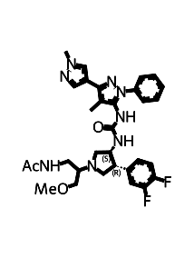 COCC(CNC(C)=O)N1C[C@@H](NC(=O)Nc2c(C)c(-c3cnn(C)c3)nn2-c2ccccc2)[C@H](c2ccc(F)c(F)c2)C1